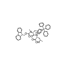 CC(C)C[C@H](NC(=O)[C@H](Cc1cn(C(c2ccccc2)(c2ccccc2)c2ccccc2)cn1)N(C)C(=O)OCC1c2ccccc2-c2ccccc21)C(=O)O